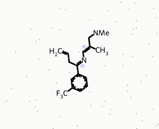 C=CC/C(=N\C=C(/C)CNC)c1cccc(C(F)(F)F)c1